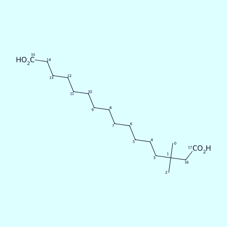 CC(C)(CCCCCCCCCCCCC(=O)O)CC(=O)O